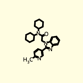 Cc1ccc(-c2nc3ccccc3n2CC(=O)N(C2CCCCC2)C2CCCCC2)cn1